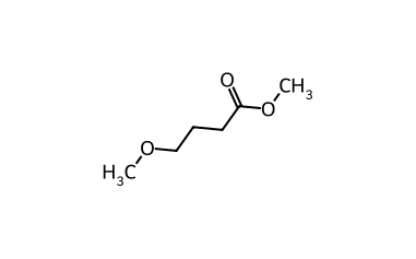 COCCCC(=O)OC